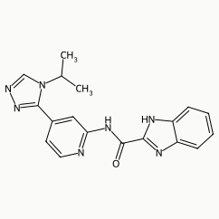 CC(C)n1cnnc1-c1ccnc(NC(=O)c2nc3ccccc3[nH]2)c1